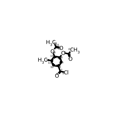 CC(=O)Oc1cc(C(=O)Cl)cc(C)c1OC(C)=O